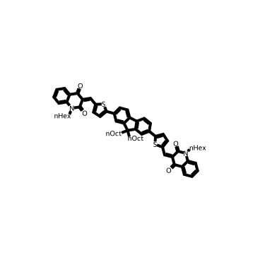 CCCCCCCCC1(CCCCCCCC)c2cc(-c3ccc(/C=C4/C(=O)c5ccccc5N(CCCCCC)C4=O)s3)ccc2-c2ccc(-c3ccc(/C=C4/C(=O)c5ccccc5N(CCCCCC)C4=O)s3)cc21